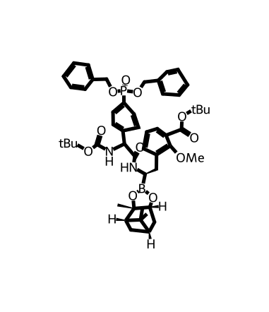 COc1c(C[C@H](NC(=O)C(NC(=O)OC(C)(C)C)c2ccc(P(=O)(OCc3ccccc3)OCc3ccccc3)cc2)B2O[C@@H]3C[C@@H]4C[C@@H](C4(C)C)[C@]3(C)O2)cccc1C(=O)OC(C)(C)C